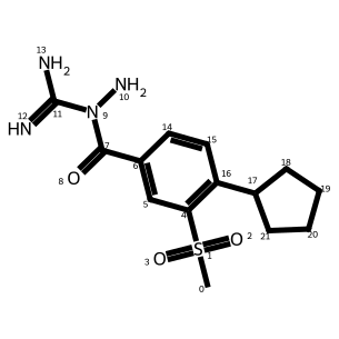 CS(=O)(=O)c1cc(C(=O)N(N)C(=N)N)ccc1C1CCCC1